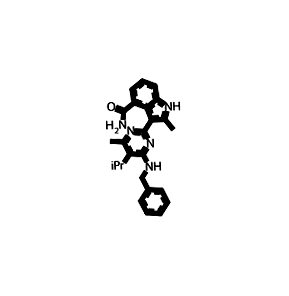 Cc1nc(-c2c(C)[nH]c3cccc(C(N)=O)c23)nc(NCc2ccccc2)c1C(C)C